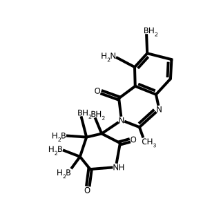 Bc1ccc2nc(C)n(C3(B)C(=O)NC(=O)C(B)(B)C3(B)B)c(=O)c2c1N